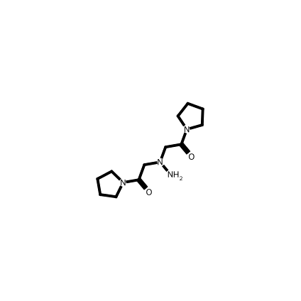 NN(CC(=O)N1CCCC1)CC(=O)N1CCCC1